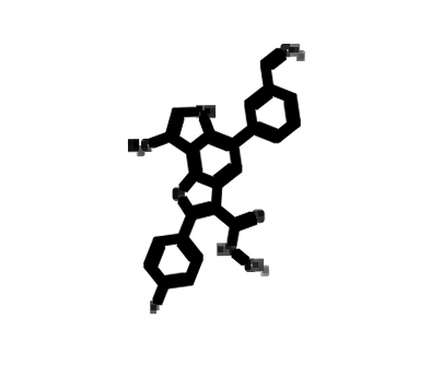 C=Cc1cccc(-c2cc3c(C(=O)NC)c(-c4ccc(F)cc4)oc3c3c(C)c[nH]c23)c1